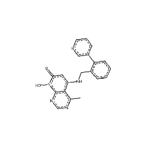 Cc1ncnc2c1c(NCc1ccccc1-c1cccnc1)cc(=O)n2O